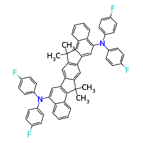 CC1(C)c2cc3c(cc2-c2cc(N(c4ccc(F)cc4)c4ccc(F)cc4)c4ccccc4c21)C(C)(C)c1c-3cc(N(c2ccc(F)cc2)c2ccc(F)cc2)c2ccccc12